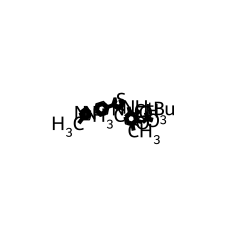 Cc1cn(-c2ccc(-c3csc(Nc4c(C)cc(C)c(OC(=O)OC(C)(C)C)c4C)n3)cc2)cn1